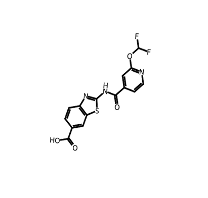 O=C(O)c1ccc2nc(NC(=O)c3ccnc(OC(F)F)c3)sc2c1